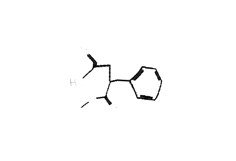 COC(=O)C(CC(=O)S)c1ccccc1